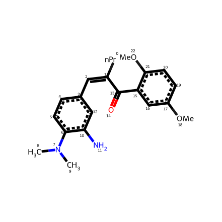 CCCC(=Cc1ccc(N(C)C)c(N)c1)C(=O)c1cc(OC)ccc1OC